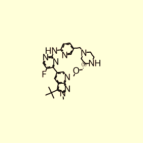 COC[C@@H]1CN(Cc2ccc(Nc3ncc(F)c(-c4cnc5nn(C)c(C(C)(C)C)c5c4)n3)nc2)CCN1